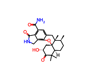 C[C@H]1CC[C@H]2C(C)(C)C(=O)[C@H](O)C[C@]23Oc2c(cc(C(N)=O)c4c2CNC4=O)C[C@]13C